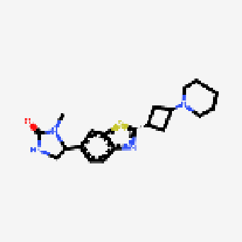 CN1C(=O)NCC1c1ccc2nc([C@H]3C[C@H](N4CCCCC4)C3)sc2c1